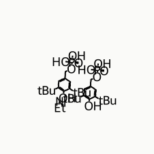 CC(C)(C)c1cc(COP(=O)(O)O)cc(C(C)(C)C)c1O.CC(C)(C)c1cc(COP(=O)(O)O)cc(C(C)(C)C)c1O.C[CH2][Ni]